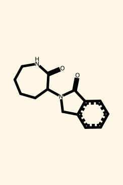 O=C1NCCCCC1N1Cc2ccccc2C1=O